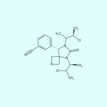 CC(Cl)[C@H](C)N1C(=O)N(C(C)[C@@H](C)Cl)[C@@H](c2cccc(C#N)c2)C12COC2